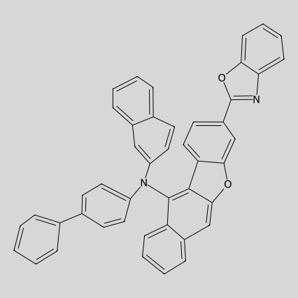 c1ccc(-c2ccc(N(c3ccc4ccccc4c3)c3c4ccccc4cc4oc5cc(-c6nc7ccccc7o6)ccc5c34)cc2)cc1